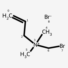 C=CC[N+](C)(C)CBr.[Br-]